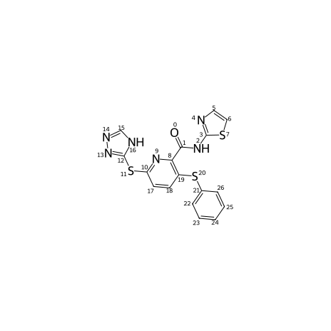 O=C(Nc1nccs1)c1nc(Sc2nnc[nH]2)ccc1Sc1ccccc1